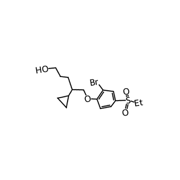 CCS(=O)(=O)c1ccc(OCC(CCCO)C2CC2)c(Br)c1